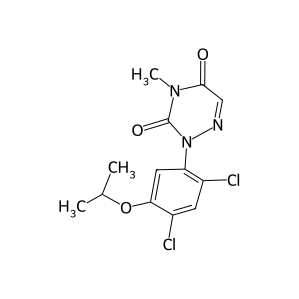 CC(C)Oc1cc(-n2ncc(=O)n(C)c2=O)c(Cl)cc1Cl